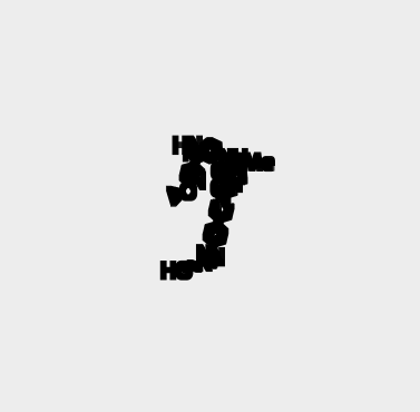 CS[C@@]1(C(=O)Nc2ccc3[nH]nc(-c4ccc(OC5CC5)nc4)c3c2)CCN(CC(=O)N2CC=C(c3ccc(-c4ncn(CCO)n4)cc3)CC2)C1